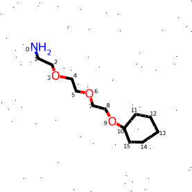 NCCOCCOCCOC1CCCCC1